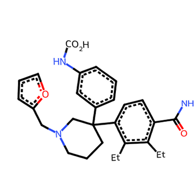 CCc1c(C(N)=O)ccc(C2(c3cccc(NC(=O)O)c3)CCCN(Cc3ccco3)C2)c1CC